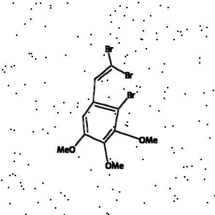 COc1cc(C=C(Br)Br)c(Br)c(OC)c1OC